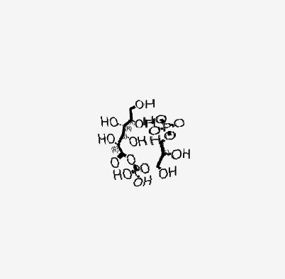 O=C(OP(=O)(O)O)[C@H](O)[C@@H](O)[C@H](O)[C@H](O)CO.O=P(O)(O)OC[C@@H](O)CO